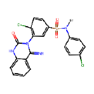 CCN(c1ccc(Cl)cc1)S(=O)(=O)c1ccc(Cl)c(-n2c(=O)[nH]c3ccccc3c2=N)c1